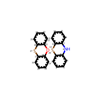 c1ccc2c(c1)Nc1ccccc1S2.c1ccc2c(c1)Oc1ccccc1S2